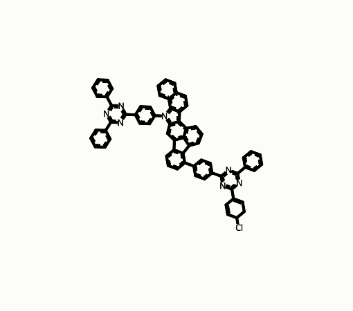 ClC1C=CC(c2nc(-c3ccccc3)nc(-c3ccc(-c4cccc5c4-c4cccc6c4c-5cc4c6c5ccc6ccccc6c5n4-c4ccc(-c5nc(-c6ccccc6)nc(-c6ccccc6)n5)cc4)cc3)n2)=CC1